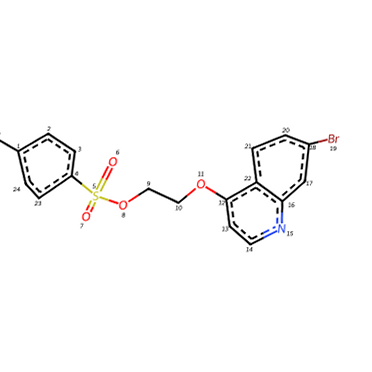 Cc1ccc(S(=O)(=O)OCCOc2ccnc3cc(Br)ccc23)cc1